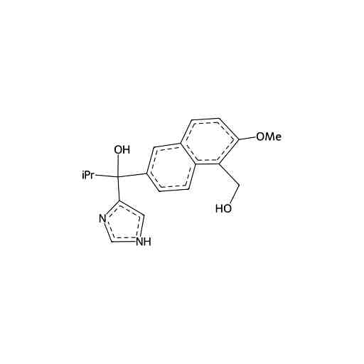 COc1ccc2cc(C(O)(c3c[nH]cn3)C(C)C)ccc2c1CO